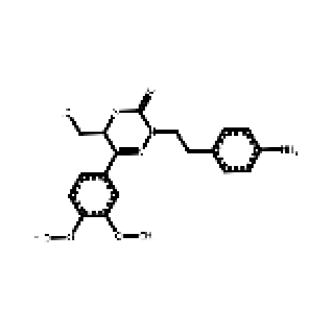 CCC1SC(=O)N(CCc2ccc(N)cc2)N=C1c1ccc(OC)c(OC)c1